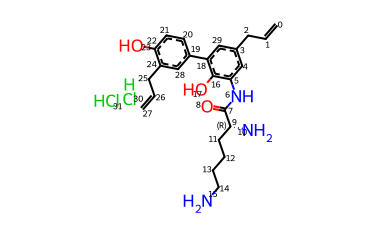 C=CCc1cc(NC(=O)[C@H](N)CCCCN)c(O)c(-c2ccc(O)c(CC=C)c2)c1.Cl.Cl